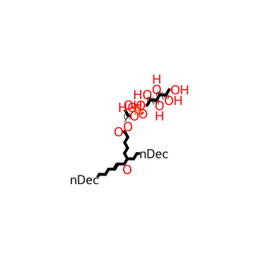 CCCCCCCCCCCCCC=CC(=O)C(CCCCCCCCCCCC)CCCCC(=O)OC[C@H](CO)OP(=O)(O)OC[C@@H](O)[C@@H](O)[C@H](O)[C@H](O)CO